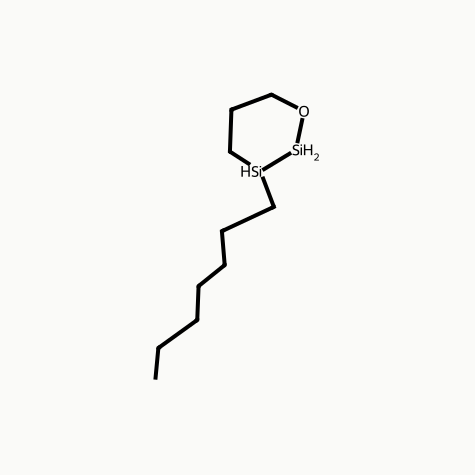 CCCCCCC[SiH]1CCCO[SiH2]1